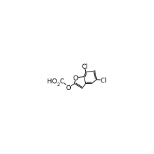 O=C(O)Oc1cc2cc(Cl)cc(Cl)c2o1